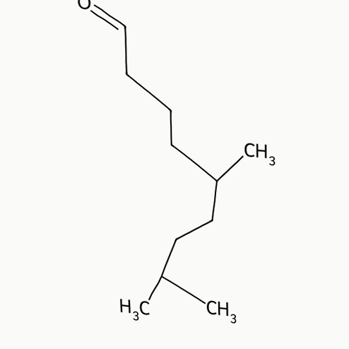 CC(C)CCC(C)CCCC=O